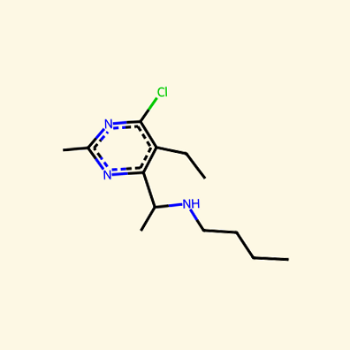 CCCCNC(C)c1nc(C)nc(Cl)c1CC